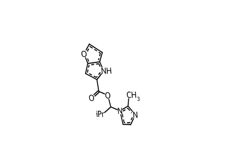 Cc1nccn1C(OC(=O)c1cc2occc2[nH]1)C(C)C